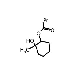 CC(C)C(=O)OC1CCCCC1(C)O